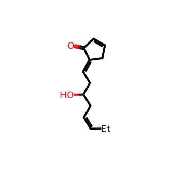 CC/C=C\CC(O)C/C=C1\CC=CC1=O